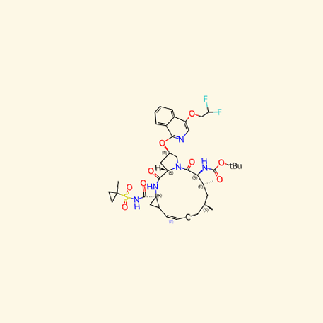 C[C@H]1CC/C=C\C2C[C@@]2(C(=O)NS(=O)(=O)C2(C)CC2)NC(=O)[C@@H]2C[C@@H](Oc3ncc(OCC(F)F)c4ccccc34)CN2C(=O)[C@@H](NC(=O)OC(C)(C)C)[C@H](C)C1